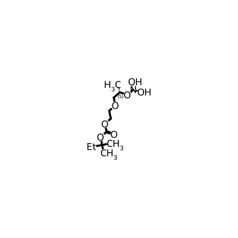 CCC(C)(C)OC(=O)OCCOC[C@H](C)ON(O)O